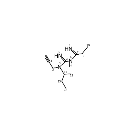 C#CCN(C(=N)NC(=N)CC)C(C)CC